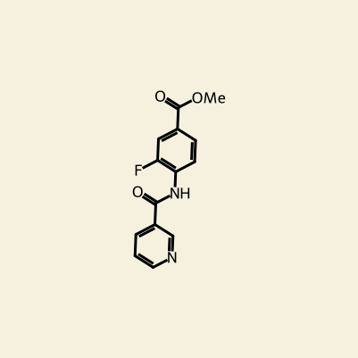 COC(=O)c1ccc(NC(=O)c2cccnc2)c(F)c1